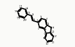 C(=Cc1ccc2c(c1)-c1ccccc1C2)c1ccccc1